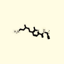 C#C[C@@H](C)NC(=C)c1ccc(CCC(C)CCN)c(C)n1